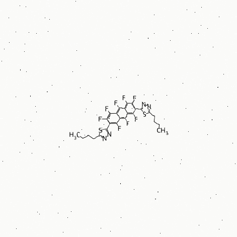 CCCCc1nnc(-c2c(F)c(F)c3c(F)c4c(F)c(F)c(-c5nnc(CCCC)s5)c(F)c4c(F)c3c2F)s1